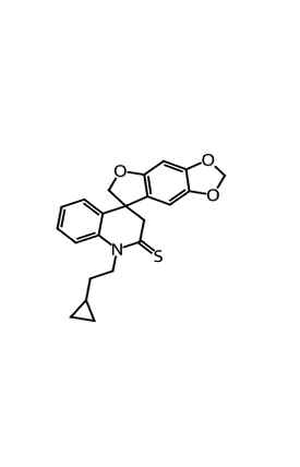 S=C1CC2(COc3cc4c(cc32)OCO4)c2ccccc2N1CCC1CC1